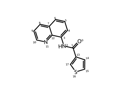 O=C(Nc1cccc2cccnc12)c1ccsc1